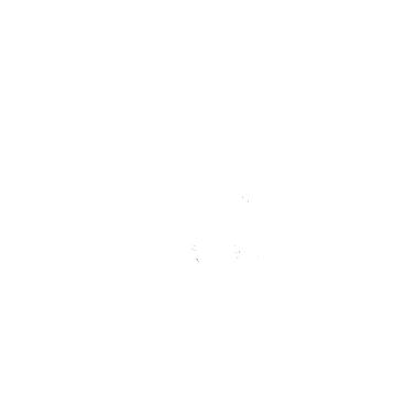 c1cc(-c2ccc3ccccc3c2)cc(N(c2ccc(-c3cccc4oc5c6ccccc6ccc5c34)cc2)c2ccccc2-n2c3ccccc3c3ccccc32)c1